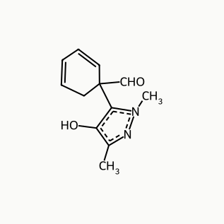 Cc1nn(C)c(C2(C=O)C=CC=CC2)c1O